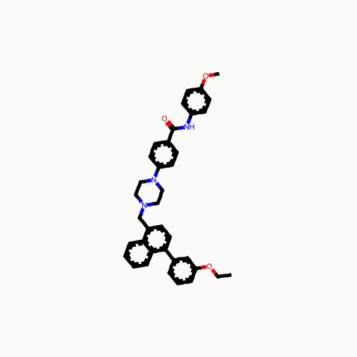 CCOc1cccc(-c2ccc(CN3CCN(c4ccc(C(=O)Nc5ccc(OC)cc5)cc4)CC3)c3ccccc23)c1